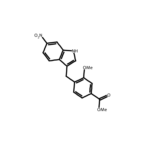 COC(=O)c1ccc(Cc2c[nH]c3cc([N+](=O)[O-])ccc23)c(OC)c1